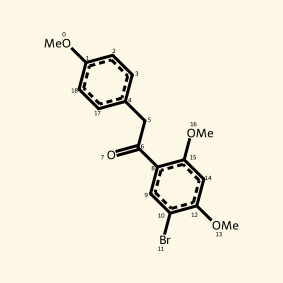 COc1ccc(CC(=O)c2cc(Br)c(OC)cc2OC)cc1